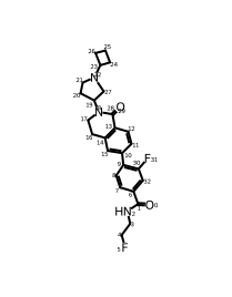 O=C(NCCF)c1ccc(-c2ccc3c(c2)CCN(C2CCN(C4CCC4)C2)C3=O)c(F)c1